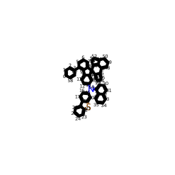 c1ccc(-c2cccc3c2-c2ccc(N(c4ccc5c(c4)sc4ccccc45)c4cccc5ccccc45)cc2C32c3ccccc3-c3cccc4cccc2c34)cc1